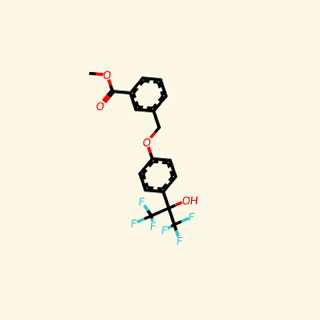 COC(=O)c1cccc(COc2ccc(C(O)(C(F)(F)F)C(F)(F)F)cc2)c1